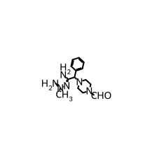 CN(N)/N=C(\N)C(c1ccccc1)N1CCN(C=O)CC1